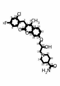 Cc1c(Cc2ccc(F)cc2Cl)c(=O)oc2cc(OCC(O)CN3CCC(C(N)=O)CC3)ccc12